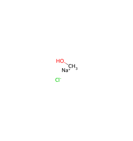 CO.[Cl-].[Na+]